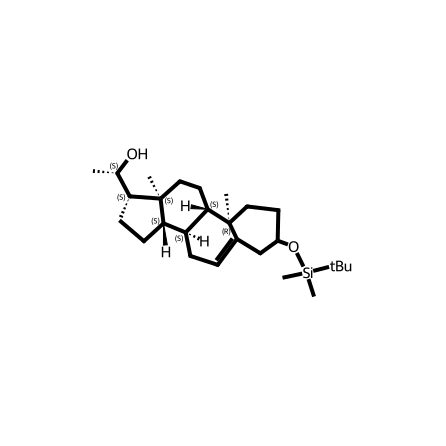 C[C@H](O)[C@H]1CC[C@H]2[C@@H]3CC=C4CC(O[Si](C)(C)C(C)(C)C)CC[C@]4(C)[C@H]3CC[C@]12C